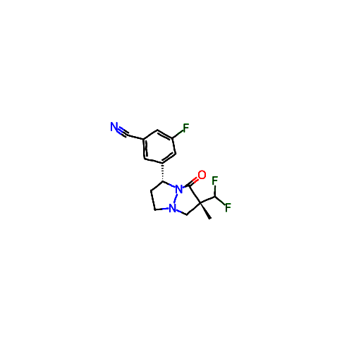 C[C@@]1(C(F)F)CN2CC[C@H](c3cc(F)cc(C#N)c3)N2C1=O